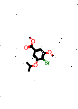 COC(=O)c1cc(OC)c(Br)c(OC(C)C)c1